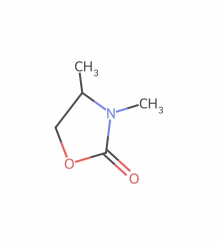 CC1COC(=O)N1C